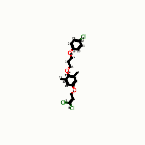 Cc1cc(OCC=C(Cl)Cl)cc(C)c1OCCCOc1ccc(Cl)cc1